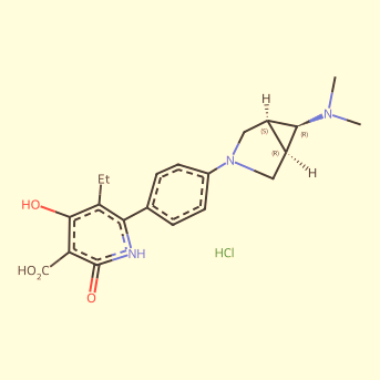 CCc1c(-c2ccc(N3C[C@@H]4[C@H](C3)[C@@H]4N(C)C)cc2)[nH]c(=O)c(C(=O)O)c1O.Cl